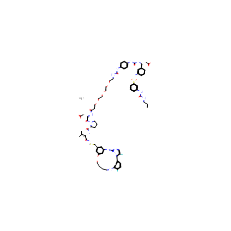 CCCNC(=O)Nc1cccc(S(=O)(=O)Nc2cccc([C@@H](CC(=O)[O-])NC(=O)Nc3ccc(NC(=O)NCCOCCOCCOCCC(=O)N[C@@H](CC(=O)[O-])C(=O)N4CCC[C@H]4C(=O)N[C@H](C(=O)N=[S@](C)(=O)Cc4cc5cc(c4)OCCCCNc4cc(ccc4F)-c4nc(ncc4F)N5)C(C)C)cc3)c2)c1.[Na+].[Na+]